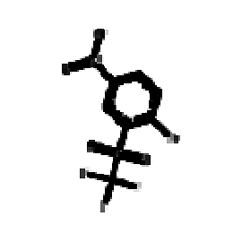 O=[N+]([O-])c1ccc(Br)c(S(=O)(=O)C(F)(F)F)c1